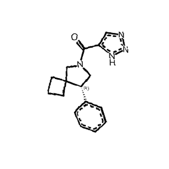 O=C(c1cnn[nH]1)N1C[C@H](c2ccccc2)C2(CCC2)C1